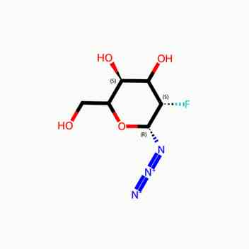 [N-]=[N+]=N[C@@H]1OC(CO)[C@@H](O)C(O)[C@@H]1F